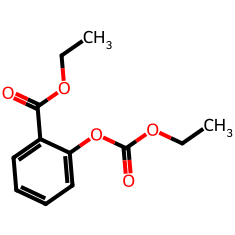 CCOC(=O)Oc1ccccc1C(=O)OCC